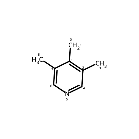 [CH2]c1c(C)cncc1C